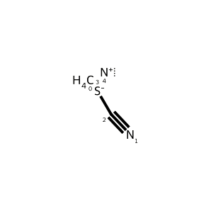 C.N#C[S-].[N+]